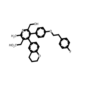 Cc1nc(CO)c(-c2ccc(OCCc3ccc(F)cc3)cc2)c(-c2ccc3c(c2)CCCO3)c1CC(=O)O